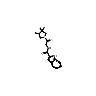 CC1CN(C(=O)CNC(=O)c2cc3ccccc3[nH]2)CC1(C)C